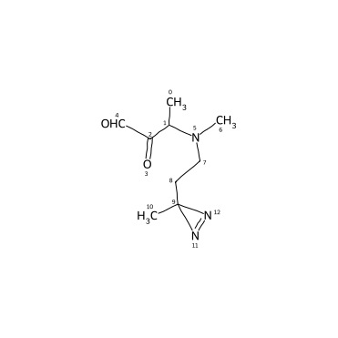 CC(C(=O)C=O)N(C)CCC1(C)N=N1